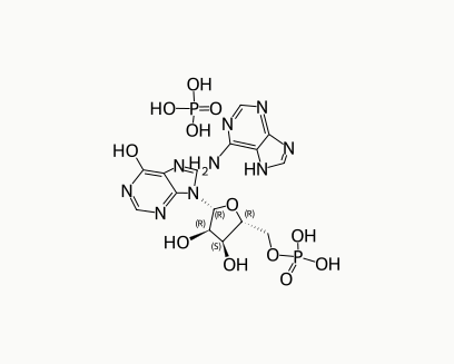 Nc1ncnc2nc[nH]c12.O=P(O)(O)O.O=P(O)(O)OC[C@H]1O[C@@H](n2cnc3c(O)ncnc32)[C@H](O)[C@@H]1O